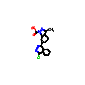 Cc1nn(C(=O)O)c2cc(-c3nnc(Cl)c4ccccc34)ccc12